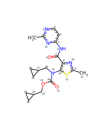 Cc1nccc(NC(=O)c2nc(C)sc2N(CC2CC2)C(=O)OCC2CC2)n1